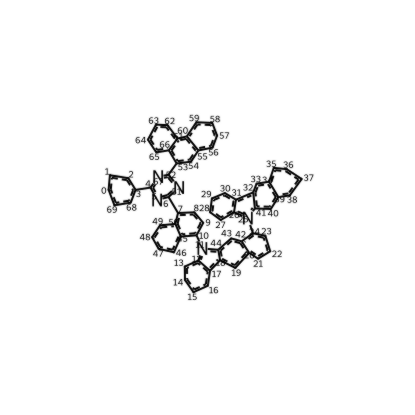 c1ccc(-c2nc(-c3ccc(-n4c5ccccc5c5cc6cccc(-n7c8ccccc8c8cc9ccccc9cc87)c6cc54)c4ccccc34)nc(-c3cc4ccccc4c4ccccc34)n2)cc1